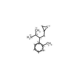 Cc1ncccc1C(CC1CS1)C(C)N